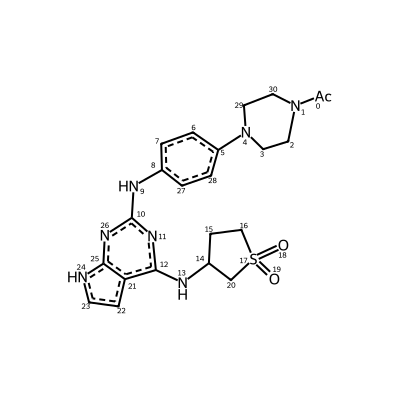 CC(=O)N1CCN(c2ccc(Nc3nc(NC4CCS(=O)(=O)C4)c4cc[nH]c4n3)cc2)CC1